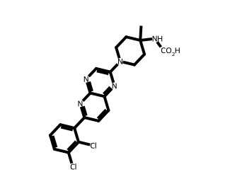 CC1(NC(=O)O)CCN(c2cnc3nc(-c4cccc(Cl)c4Cl)ccc3n2)CC1